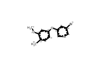 COc1cc(Oc2cncc(Br)c2)ccc1C